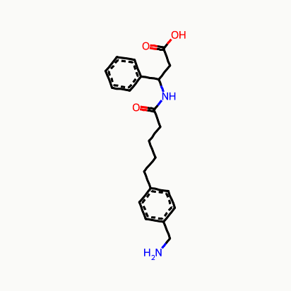 NCc1ccc(CCCCC(=O)NC(CC(=O)O)c2ccccc2)cc1